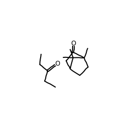 CC12CCC(CC1=O)C2(C)C.CCC(=O)CC